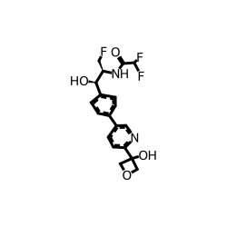 O=C(N[C@H](CF)[C@H](O)c1ccc(-c2ccc(C3(O)COC3)nc2)cc1)C(F)F